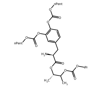 CCCCCOC(=O)Oc1ccc(C[C@H](N)C(=O)O[C@@H](C)C(C)OC(=O)OC(C)C)cc1OC(=O)OCCCCC